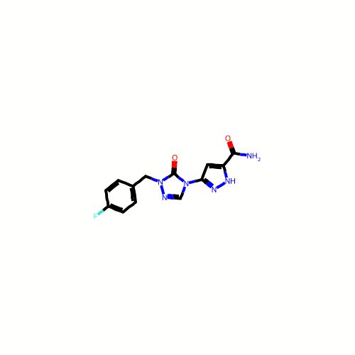 NC(=O)c1cc(-n2cnn(Cc3ccc(F)cc3)c2=O)n[nH]1